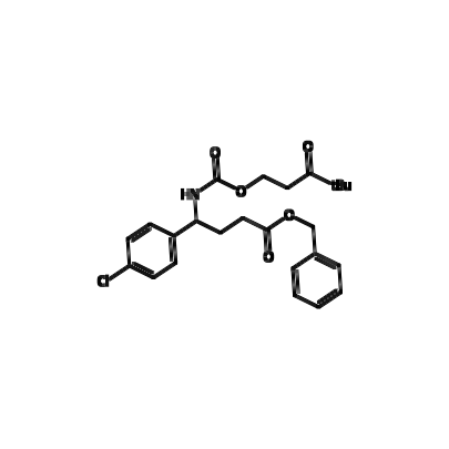 CC(C)(C)C(=O)CCOC(=O)NC(CCC(=O)OCc1ccccc1)c1ccc(Cl)cc1